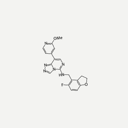 COc1cc(-c2cnc(NCc3c(F)ccc4c3CCO4)n3cnnc23)ccn1